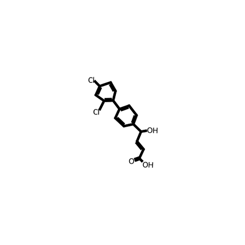 O=C(O)C=CC(O)c1ccc(-c2ccc(Cl)cc2Cl)cc1